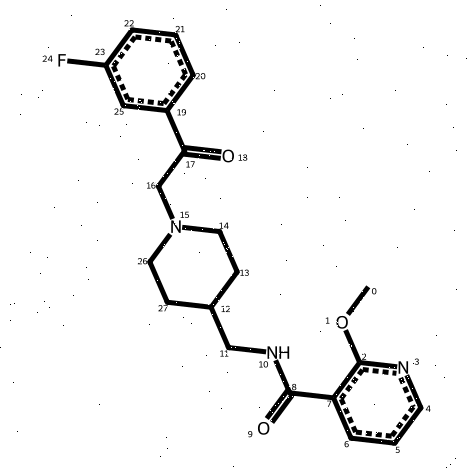 COc1ncccc1C(=O)NCC1CCN(CC(=O)c2cccc(F)c2)CC1